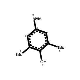 [CH2]Sc1cc(C(C)(C)C)c(O)c(C(C)(C)C)c1